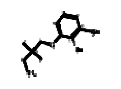 CC[C@@H](C)c1c(OCC(C)(C)CN)cccc1C(C)(C)C